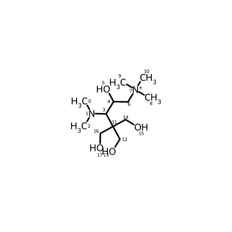 CN(C)C(C(O)C[N+](C)(C)C)C(CO)(CO)CO